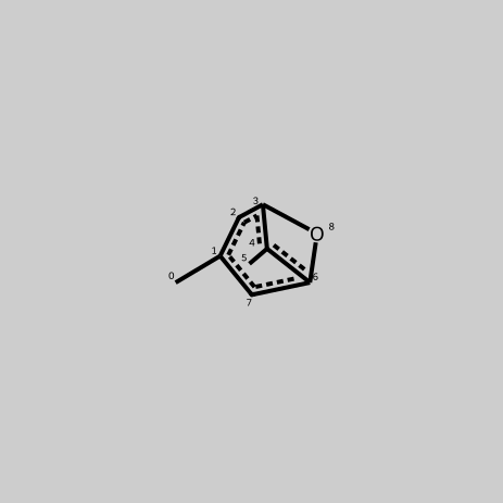 Cc1cc2c(C)c(c1)O2